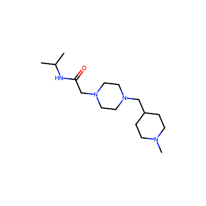 CC(C)NC(=O)CN1CCN(CC2CCN(C)CC2)CC1